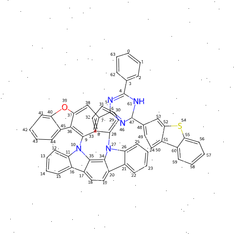 c1ccc(C2=NC(c3cc(-n4c5ccccc5c5ccc6c7ccccc7n(-c7ccccc7)c6c54)c4c(c3)oc3ccccc34)=NC(c3ccc4c(c3)sc3ccccc34)N2)cc1